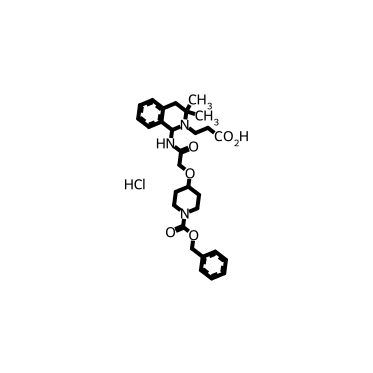 CC1(C)Cc2ccccc2C(NC(=O)COC2CCN(C(=O)OCc3ccccc3)CC2)N1CCC(=O)O.Cl